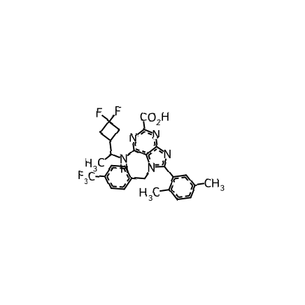 Cc1ccc(C)c(-c2nc3nc(C(=O)O)nc(NC(C)C4CC(F)(F)C4)c3n2Cc2ccc(C(F)(F)F)cc2)c1